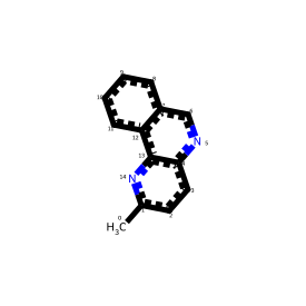 Cc1ccc2ncc3ccccc3c2n1